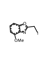 COc1cccc2oc(CI)nc12